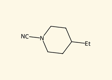 [CH2]CC1CCN(C#N)CC1